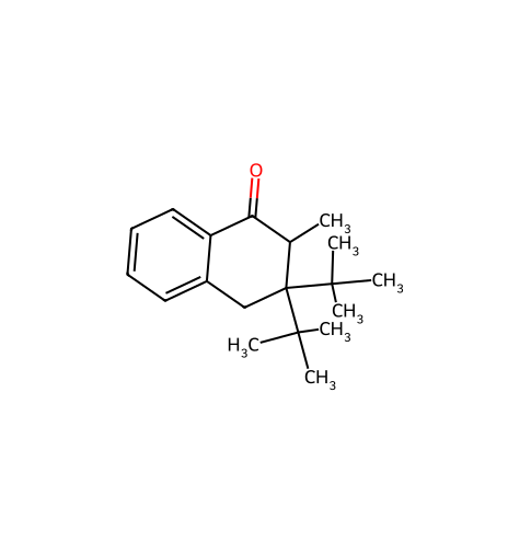 CC1C(=O)c2ccccc2CC1(C(C)(C)C)C(C)(C)C